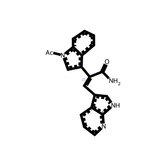 CC(=O)n1cc(/C(=C/c2c[nH]c3ncccc23)C(N)=O)c2ccccc21